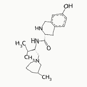 CC1CCCN(C[C@@H](NC(=O)[C@H]2Cc3ccc(O)cc3CN2)C(C)C)C1